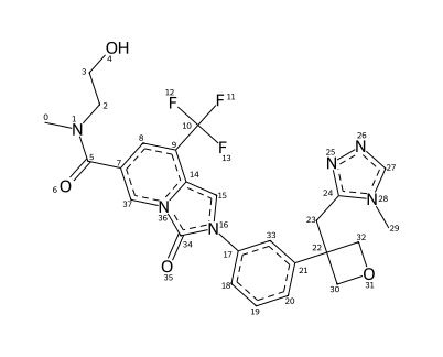 CN(CCO)C(=O)c1cc(C(F)(F)F)c2cn(-c3cccc(C4(Cc5nncn5C)COC4)c3)c(=O)n2c1